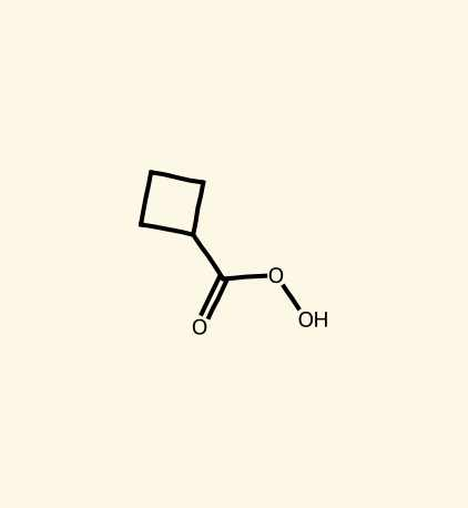 O=C(OO)C1CCC1